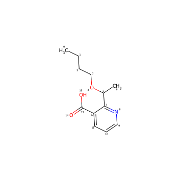 CCCCOC(C)c1ncccc1C(=O)O